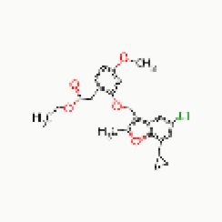 CCOC(=O)Cc1ccc(OC)cc1OCc1c(C)oc2c(C3CC3)cc(Cl)cc12